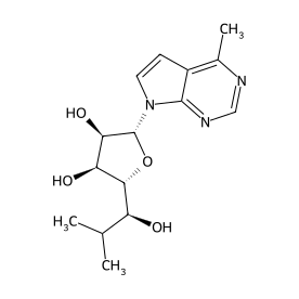 Cc1ncnc2c1ccn2[C@@H]1O[C@H]([C@@H](O)C(C)C)[C@@H](O)[C@H]1O